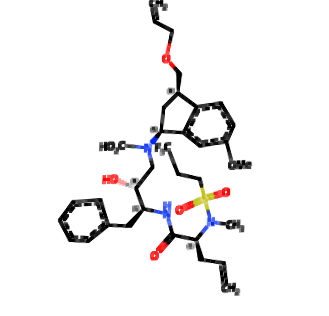 C=CCOC[C@@H]1C[C@H](N(C[C@@H](O)[C@H](Cc2ccccc2)NC(=O)[C@H](CC=C)N(C)S(=O)(=O)CCC(F)(F)F)C(=O)O)c2cc(OC)ccc21